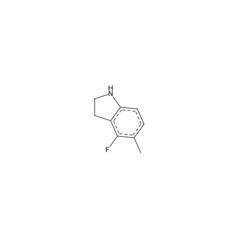 Cc1ccc2c(c1F)CCN2